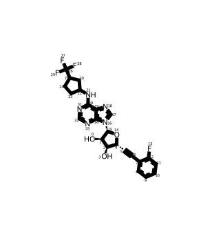 O[C@@H]1[C@H](O)[C@@H](C#Cc2ccccc2F)O[C@H]1n1cnc2c(NC3CCC(C(F)(F)F)C3)ncnc21